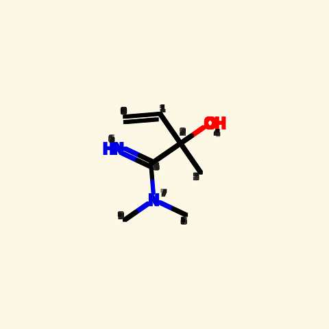 C=CC(C)(O)C(=N)N(C)C